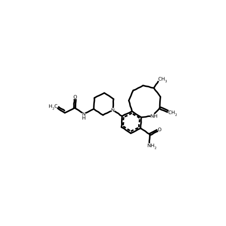 C=CC(=O)NC1CCCN(c2ccc(C(N)=O)c3c2CCCC(C)CC(=C)N3)C1